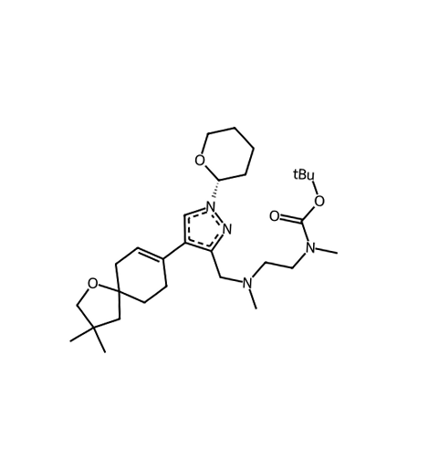 CN(CCN(C)C(=O)OC(C)(C)C)Cc1nn([C@H]2CCCCO2)cc1C1=CCC2(CC1)CC(C)(C)CO2